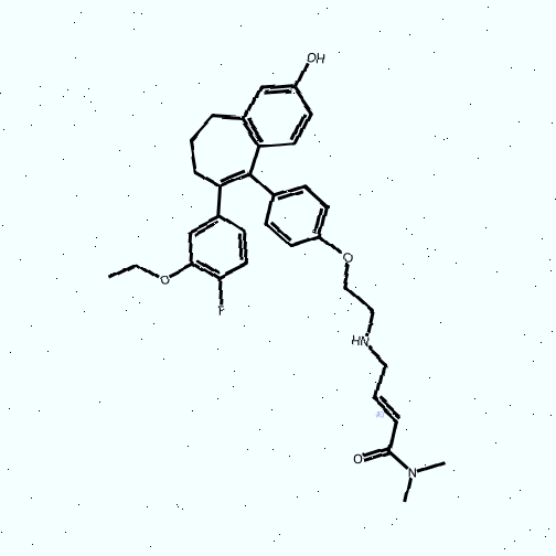 CCOc1cc(C2=C(c3ccc(OCCNC/C=C/C(=O)N(C)C)cc3)c3ccc(O)cc3CCC2)ccc1F